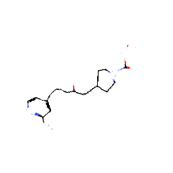 CC(C)(C)OC(=O)N1CCC(CC(O)CCc2ccnc(C#N)c2)CC1